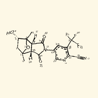 CC12C[C@H](O)C(C)(O1)[C@@H]1C(=O)N(c3cnc(C#N)c(C(F)(F)F)c3)C(=O)[C@@H]12